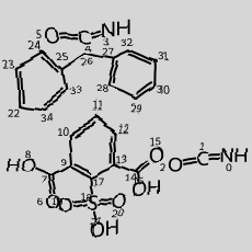 N=C=O.N=C=O.O=C(O)c1cccc(C(=O)O)c1S(=O)(=O)O.c1ccc(Cc2ccccc2)cc1